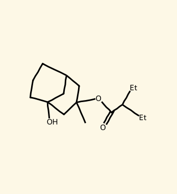 CCC(CC)C(=O)OC1(C)CC2CCCC(O)(C2)C1